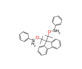 CC(C)(O[SiH2]c1ccccc1)C1(C(C)(C)O[SiH2]c2ccccc2)c2ccccc2-c2ccccc21